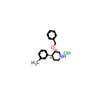 Cc1cccc([C@@H]2CCNC[C@H]2OCc2ccccc2)c1.Cl